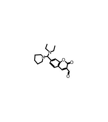 CCN(CC)C(c1ccc2cc(C=O)c(=O)oc2c1)N1CCCCC1